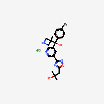 CC(C)c1ccc([C@](O)(c2cncc(-c3noc(CC(C)(C)O)n3)c2)C2(C)CNC2)cc1.Cl